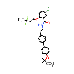 CC(C)(Oc1ccc(-c2ccc(CCNC(=O)c3cc(Cl)ccc3OCCC(F)(F)C(F)(F)F)cc2)cc1)C(=O)O